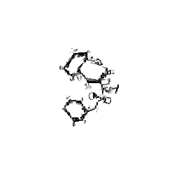 O=S(=O)(Cc1ccccc1)NC1=COc2ccccc2C1